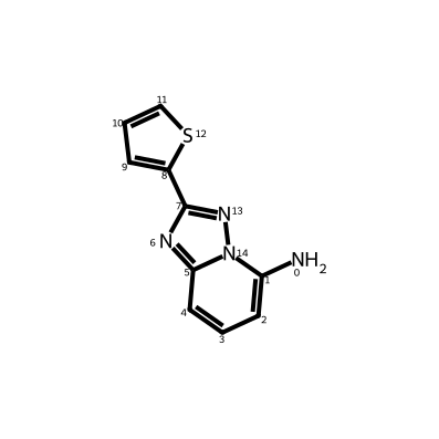 Nc1cccc2nc(-c3cccs3)nn12